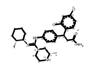 C[C@@H]1CCCC[C@H]1/N=C(\Nc1ccc(C(CC(N)=O)c2ccc(Cl)cc2Cl)cc1)N1CCN[C@@H](C)C1